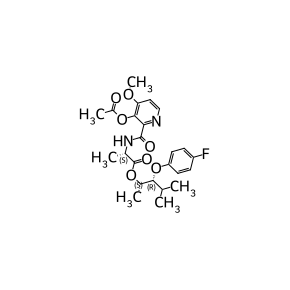 COc1ccnc(C(=O)N[C@@H](C)C(=O)O[C@@H](C)[C@H](Oc2ccc(F)cc2)C(C)C)c1OC(C)=O